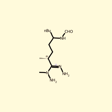 CCCCC(CC[C@@H](C)/C(=N/N)N(C)N)NC=O